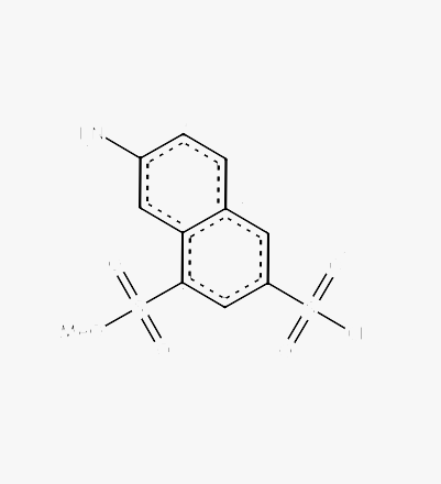 COS(=O)(=O)c1cc(S(C)(=O)=O)cc2ccc(N)cc12